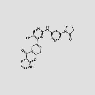 O=C(c1ccc[nH]c1=O)N1CCC=C(c2nc(Nc3cncc(N4CCCC4=O)c3)ncc2Cl)C1